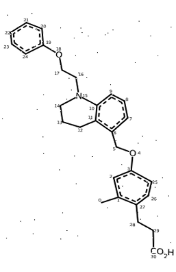 Cc1cc(OCc2cccc3c2CCCN3CCOc2ccccc2)ccc1CCC(=O)O